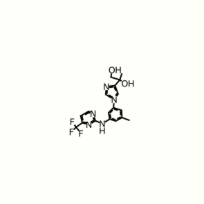 Cc1cc(Nc2nccc(C(F)(F)F)n2)cc(-n2cnc(C(C)(O)CO)c2)c1